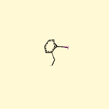 [CH2]Cc1ccccc1I